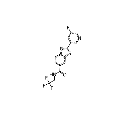 O=C(NCC(F)(F)F)c1ccc2nc(-c3cncc(F)c3)sc2c1